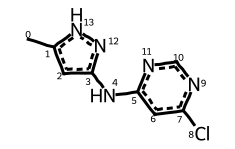 Cc1cc(Nc2cc(Cl)ncn2)n[nH]1